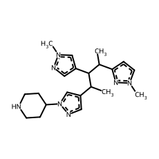 CC(c1cnn(C2CCNCC2)c1)C(c1cnn(C)c1)C(C)c1ccn(C)n1